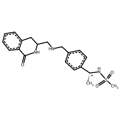 C[C@@H](NS(C)(=O)=O)c1ccc(CNCC2Cc3ccccc3C(=O)N2)cc1